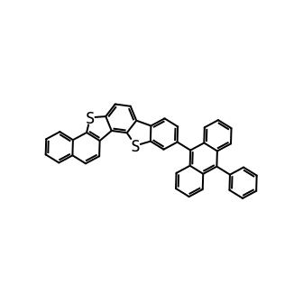 c1ccc(-c2c3ccccc3c(-c3ccc4c(c3)sc3c4ccc4sc5c6ccccc6ccc5c43)c3ccccc23)cc1